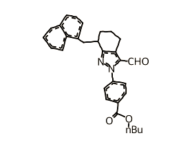 CCCCOC(=O)c1ccc(-n2nc3c(c2C=O)CCCC3Cc2cccc3ccccc23)cc1